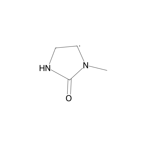 CN1[CH]CNC1=O